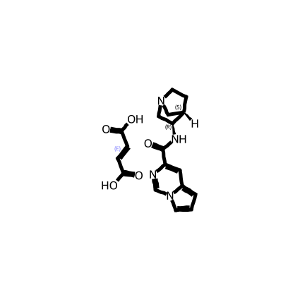 O=C(N[C@H]1CN2CC[C@H]1C2)c1cc2cccn2cn1.O=C(O)/C=C/C(=O)O